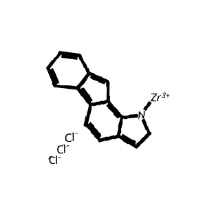 [Cl-].[Cl-].[Cl-].[Zr+3][N]1CC=c2ccc3c(c21)C=c1ccccc1=3